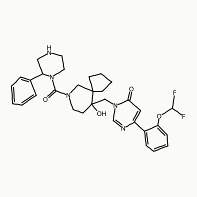 O=C(N1CCC(O)(Cn2cnc(-c3ccccc3OC(F)F)cc2=O)C2(CCCC2)C1)N1CCNCC1c1ccccc1